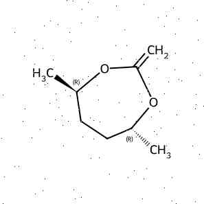 C=C1O[C@H](C)CC[C@@H](C)O1